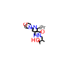 Cc1cc(N2CCOCC2)nc(C(C)C)c1C(=O)NCC(C)C(C)O